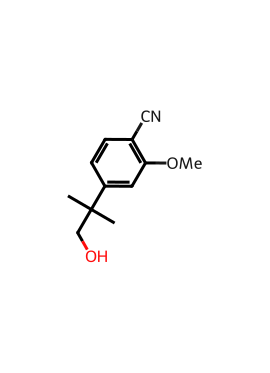 COc1cc(C(C)(C)CO)ccc1C#N